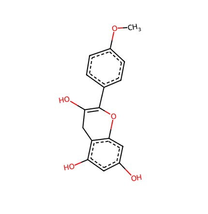 COc1ccc(C2=C(O)Cc3c(O)cc(O)cc3O2)cc1